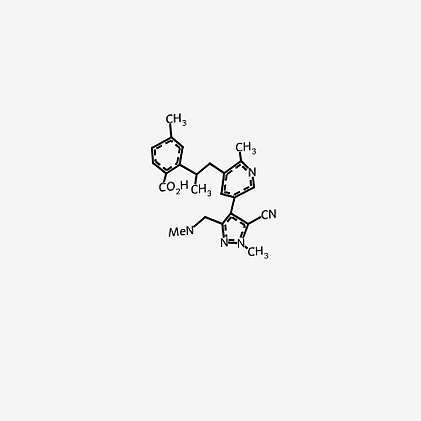 CNCc1nn(C)c(C#N)c1-c1cnc(C)c(CC(C)c2cc(C)ccc2C(=O)O)c1